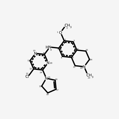 COc1cc2c(cc1Nc1ncc(Cl)c(N3C=CCC3)n1)CN(C)CC2